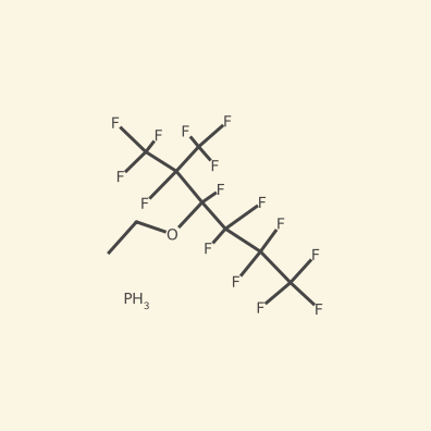 CCOC(F)(C(F)(F)C(F)(F)C(F)(F)F)C(F)(C(F)(F)F)C(F)(F)F.P